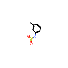 Cc1cccc(N=S(=O)=O)c1